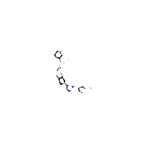 COc1cc(F)cc([C@@H](CO)NC(=O)[C@@H](C)N2Cc3ccc(-c4ccnc(Nc5ccnc(OC)c5)n4)cc3C2=O)c1